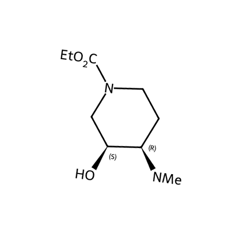 CCOC(=O)N1CC[C@@H](NC)[C@@H](O)C1